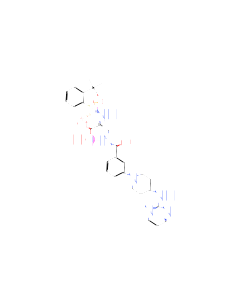 CC(C)(C)c1ccccc1S(=O)(=O)N[C@@H](CNC(=O)c1cccc(N2CCC(Nc3ncccn3)CC2)c1)C(=O)O